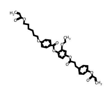 C=CC(=O)OCCCCCCOc1ccc(C(=O)Oc2ccc(OC(=O)CCc3ccc(OC(=O)C=C)cc3)cc2OCC)cc1